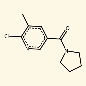 Cc1cc(C(=O)N2CCCC2)cnc1Cl